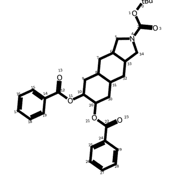 CC(C)(C)OC(=O)N1CC2CC3CC(OC(=O)c4ccccc4)C(OC(=O)c4ccccc4)CC3CC2C1